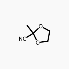 CC1(C#N)OCCO1